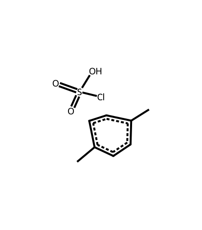 Cc1ccc(C)cc1.O=S(=O)(O)Cl